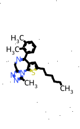 CCCCCCc1cc2c(s1)-n1c(C)nnc1CN=C2c1cccc(C)c1C